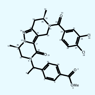 COC(=O)c1ccc(C(C)N2C[C@@H](C)n3nc4c(c3C2=O)CN(C(=O)c2ccc(Cl)c(Cl)c2)[C@H](C)C4)cc1